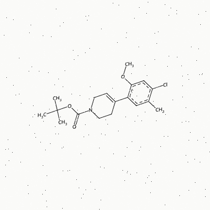 COc1cc(Cl)c(C)cc1C1=CCN(C(=O)OC(C)(C)C)CC1